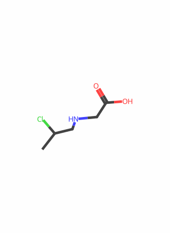 CC(Cl)CNCC(=O)O